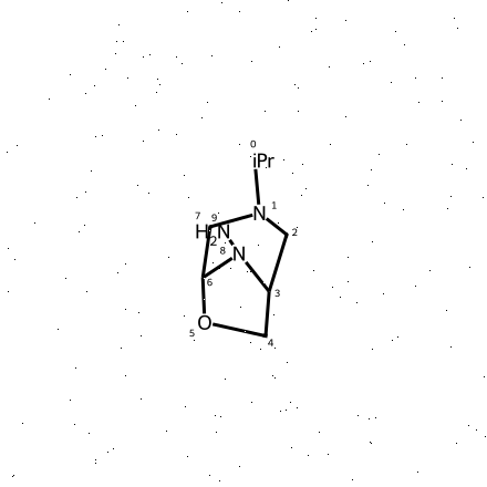 CC(C)N1CC2COC(C1)N2N